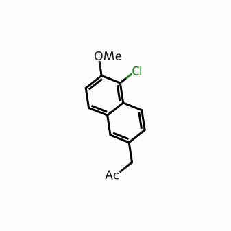 COc1ccc2cc(CC(C)=O)ccc2c1Cl